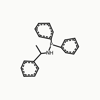 CC(NP(c1ccccc1)c1ccccc1)c1ccccc1